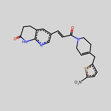 O=C1CCc2cc(C=CC(=O)N3CC=C(Cc4ccc([N+](=O)[O-])s4)CC3)cnc2N1